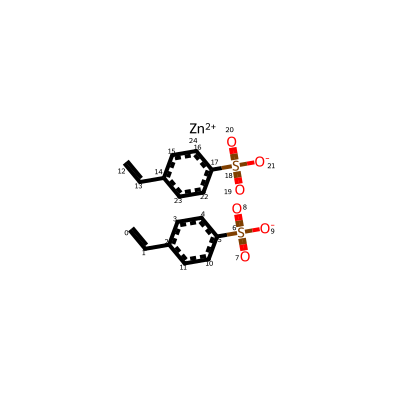 C=Cc1ccc(S(=O)(=O)[O-])cc1.C=Cc1ccc(S(=O)(=O)[O-])cc1.[Zn+2]